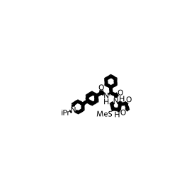 CS[C@H]1CN(C(=O)[C@@H](NC(=O)c2ccc(C3CCN(C(C)C)CC3)cc2)C2CCCCC2)[C@@H]2C(=O)CO[C@H]12